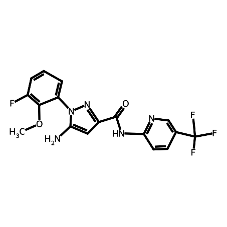 COc1c(F)cccc1-n1nc(C(=O)Nc2ccc(C(F)(F)F)cn2)cc1N